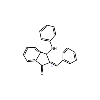 O=C1/C(=C/c2ccccc2)C(Nc2ccccc2)c2ccccc21